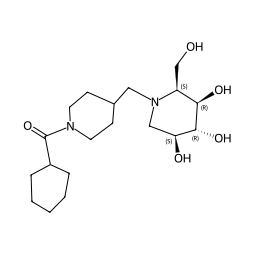 O=C(C1CCCCC1)N1CCC(CN2C[C@H](O)[C@@H](O)[C@H](O)[C@@H]2CO)CC1